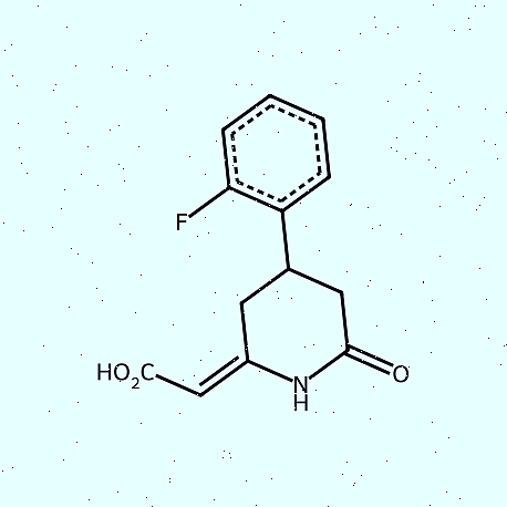 O=C(O)/C=C1\CC(c2ccccc2F)CC(=O)N1